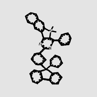 CS1(C)c2cc3ccccc3cc2-c2nc(-c3cccc(C4(c5ccccc5)c5ccccc5-c5ccccc54)c3)nc(-c3ccccc3)c21